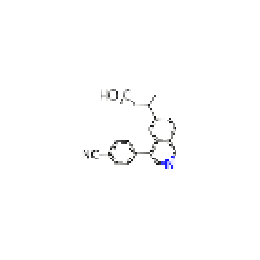 CC(CC(=O)O)c1ccc2cncc(-c3ccc(C#N)cc3)c2c1